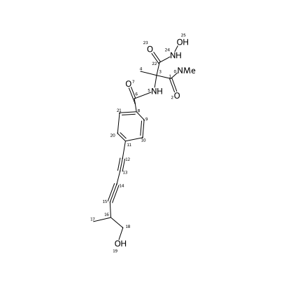 CNC(=O)C(C)(NC(=O)c1ccc(C#CC#CC(C)CO)cc1)C(=O)NO